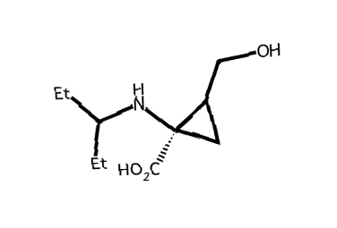 CCC(CC)N[C@]1(C(=O)O)CC1CO